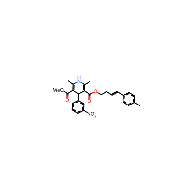 COC(=O)C1=C(C)NC(C)=C(C(=O)OCCC=Cc2ccc(C)cc2)C1c1cccc([N+](=O)[O-])c1